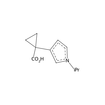 CC(C)n1ccc(C2(C(=O)O)CC2)c1